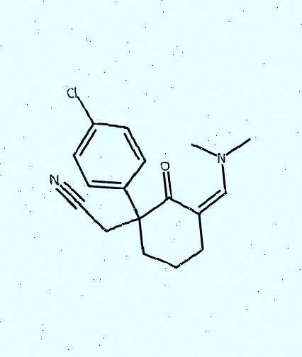 CN(C)/C=C1/CCCC(CC#N)(c2ccc(Cl)cc2)C1=O